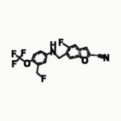 N#Cc1cc2cc(F)c(CNc3ccc(OC(F)(F)F)c(CF)c3)cc2o1